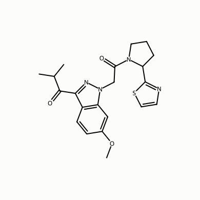 COc1ccc2c(C(=O)C(C)C)nn(CC(=O)N3CCCC3c3nccs3)c2c1